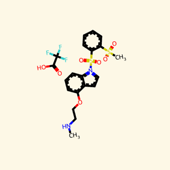 CNCCOc1cccc2c1ccn2S(=O)(=O)c1ccccc1S(C)(=O)=O.O=C(O)C(F)(F)F